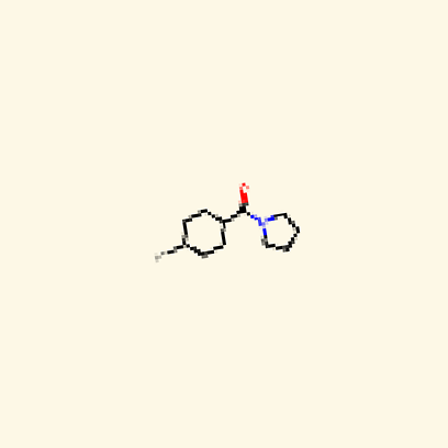 CC(C)C1CCC(C(=O)N2CCCC2)CC1